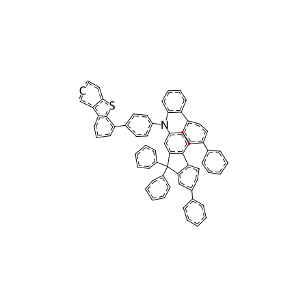 c1ccc(-c2ccc(-c3ccccc3N(c3ccc(-c4cccc5c4sc4ccccc45)cc3)c3ccc4c(c3)C(c3ccccc3)(c3ccccc3)c3cc(-c5ccccc5)ccc3-4)cc2)cc1